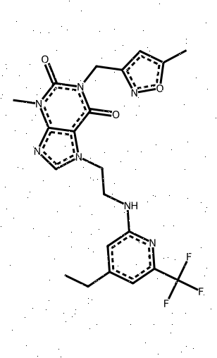 CCc1cc(NCCn2cnc3c2c(=O)n(Cc2cc(C)on2)c(=O)n3C)nc(C(F)(F)F)c1